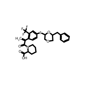 C=C(C(=O)N1CCCCC1C(=O)O)c1ccc(SC2COCC(Cc3ccccc3)O2)cc1C(F)(F)F